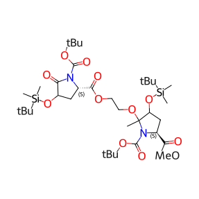 COC(=O)[C@@H]1CC(O[Si](C)(C)C(C)(C)C)C(C)(OCCOC(=O)[C@@H]2CC(O[Si](C)(C)C(C)(C)C)C(=O)N2C(=O)OC(C)(C)C)N1C(=O)OC(C)(C)C